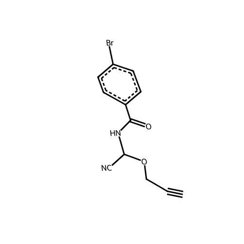 C#CCOC(C#N)NC(=O)c1ccc(Br)cc1